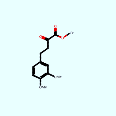 COc1ccc(CCC(=O)C(=O)OC(C)C)cc1OC